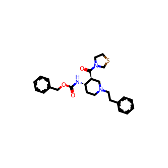 O=C(N[C@H]1CCN(CCc2ccccc2)C[C@@H]1C(=O)N1CCSC1)OCc1ccccc1